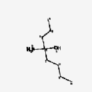 CCCCC(O)(P)CCC